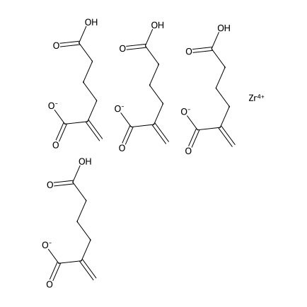 C=C(CCCC(=O)O)C(=O)[O-].C=C(CCCC(=O)O)C(=O)[O-].C=C(CCCC(=O)O)C(=O)[O-].C=C(CCCC(=O)O)C(=O)[O-].[Zr+4]